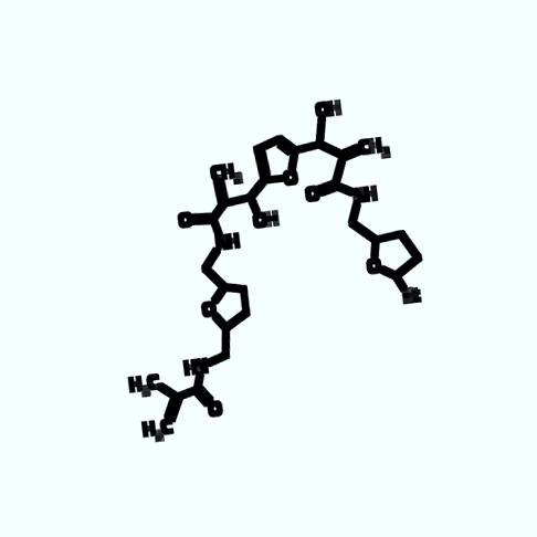 C=C(C)C(=O)NCC1CCC(CNC(=O)C(=C)C(O)c2ccc(C(O)C(=C)C(=O)NCC3CCC(CC)O3)o2)O1